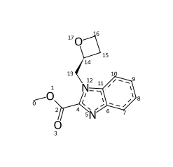 COC(=O)c1nc2ccccc2n1C[C@@H]1CCO1